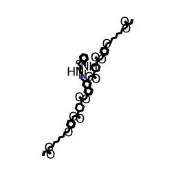 C=CC(=O)OCCCCCCOc1ccc(OC(=O)C2CCC(C(=O)Oc3ccc4cc(OC(=O)C5CCC(C(=O)Oc6ccc(OCCCCCCOC(=O)C=C)cc6)CC5)c(/C=N/NC5Nc6ccccc6S5)cc4c3)CC2)cc1